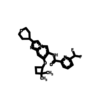 CC1(C)CCC1Oc1cc2nc(C3CCOCC3)cn2cc1NC(=O)c1cccc(C(F)F)n1